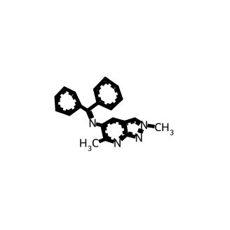 Cc1nc2nn(C)cc2cc1N=C(c1ccccc1)c1ccccc1